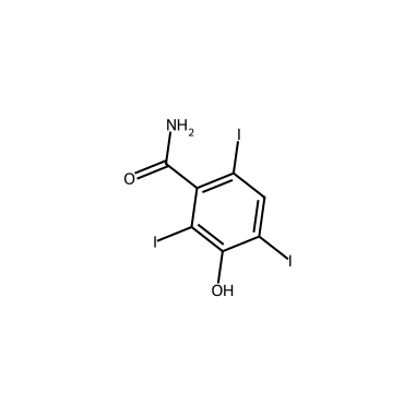 NC(=O)c1c(I)cc(I)c(O)c1I